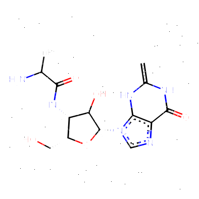 C=C1NC(=O)c2ncn([C@@H]3O[C@H](CO)[C@H](NC(=O)C(N)CCC)C3O)c2N1